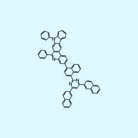 c1ccc(-c2nc3cc(-c4ccc(-c5nc(-c6ccc7ccccc7c6)cc(-c6ccc7ccccc7c6)n5)c5ccccc45)ccc3c3cc4c5ccccc5n(-c5ccccc5)c4cc23)cc1